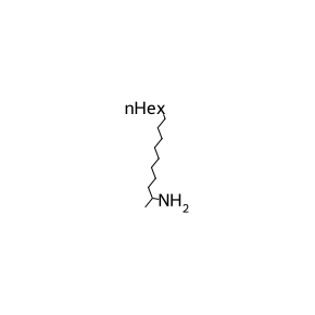 CCCCCCCCCCCCCCC(C)N